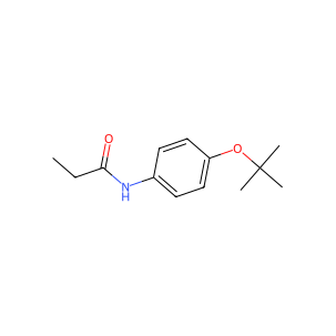 CCC(=O)Nc1ccc(OC(C)(C)C)cc1